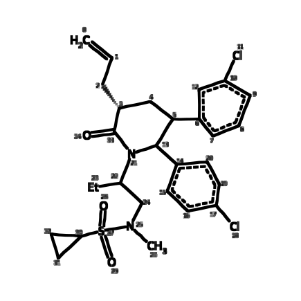 C=CC[C@@H]1CC(c2cccc(Cl)c2)C(c2ccc(Cl)cc2)N(C(CC)CN(C)S(=O)(=O)C2CC2)C1=O